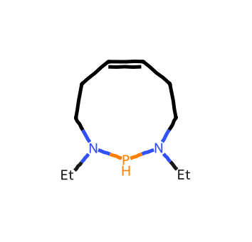 CCN1CC/C=C\CCN(CC)P1